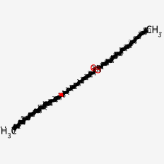 CCCCCCCCCCCCCCCCCCCCCCCCCCCCCCCCCCCCCC(=O)OCCCCCCCCCCCCCCCCCCCCCC